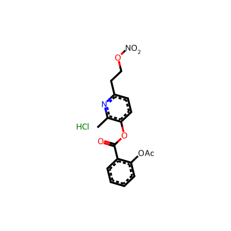 CC(=O)Oc1ccccc1C(=O)Oc1ccc(CCO[N+](=O)[O-])nc1C.Cl